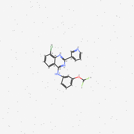 FC(F)Oc1cccc(Nc2nc(-c3cccnc3)nc3c(Cl)cccc23)c1